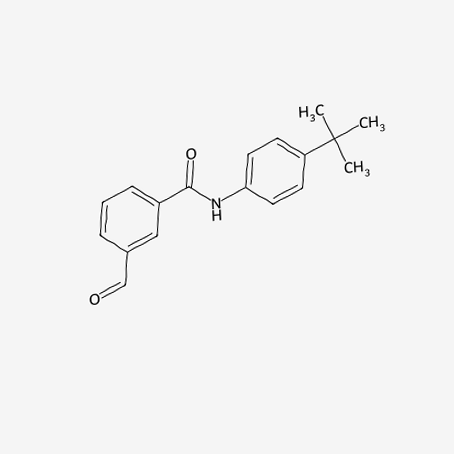 CC(C)(C)c1ccc(NC(=O)c2cccc(C=O)c2)cc1